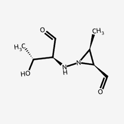 C[C@@H](O)[C@@H](C=O)NN1[C@H](C=O)[C@@H]1C